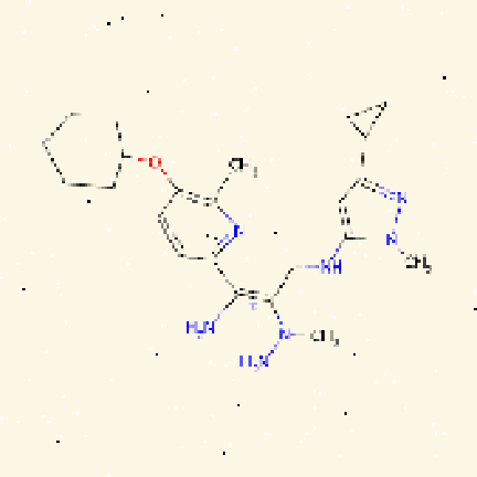 Cc1nc(/C(N)=C(\CNc2cc(C3CC3)nn2C)N(C)N)ccc1OC1CCCCC1